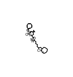 CC(CCCCc1nnc(C2CC3(CC3)C3CN2C(=O)N3OC2=C/C=C\C=C/C=C\2)o1)CC1CCCCCCCC1